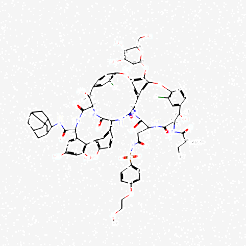 CCOCCOc1ccc(S(=O)(=O)NC(=O)C[C@@H]2NC(=O)[C@H](NC(=O)[C@@H](CC(C)C)NC)[C@H](O)c3ccc(c(Cl)c3)Oc3cc4cc(c3O[C@@H]3O[C@H](CO)[C@@H](O)[C@H](O)[C@H]3O)Oc3ccc(cc3Cl)[C@@H](O)[C@@H]3NC(=O)[C@H](NC(=O)[C@@H]4NC2=O)c2ccc(O)c(c2)-c2c(O)cc(O)cc2[C@@H](C(=O)NC2C4CC5CC(C4)CC2C5)NC3=O)cc1